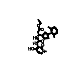 CCOC(=O)CC(NC(=O)Nc1c(O)ccn(C)c1=O)c1cc(-c2c(C)cccc2C)cs1